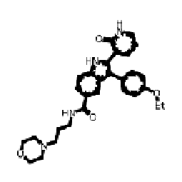 CCOc1ccc(-c2c(-c3ccc[nH]c3=O)[nH]c3ccc(C(=O)NCCCN4CCOCC4)cc23)cc1